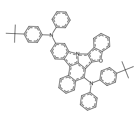 CC(C)(C)c1ccc(N(c2ccccc2)c2ccc3c4c5ccccc5c(N(c5ccccc5)c5ccc(C(C)(C)C)cc5)c5c6oc7ccccc7c6n(c3c2)c54)cc1